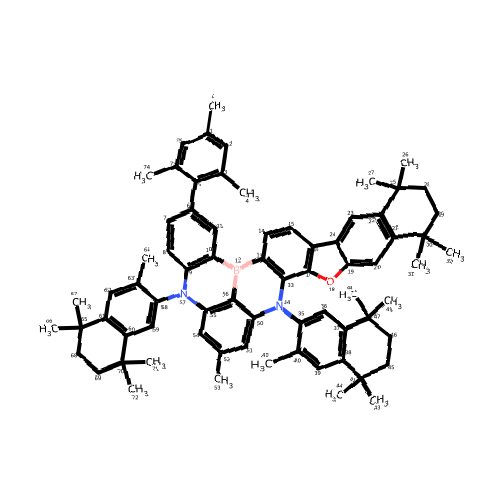 Cc1cc(C)c(-c2ccc3c(c2)B2c4ccc5c(oc6cc7c(cc65)C(C)(C)CCC7(C)C)c4N(c4cc5c(cc4C)C(C)(C)CCC5(C)C)c4cc(C)cc(c42)N3c2cc3c(cc2C)C(C)(C)CCC3(C)C)c(C)c1